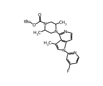 Cc1cn(-c2cc(F)ccn2)c2ccnc(N3CC(C)N(C(=O)OC(C)(C)C)CC3C)c12